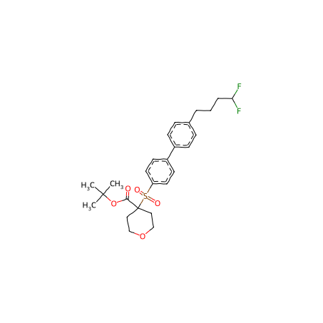 CC(C)(C)OC(=O)C1(S(=O)(=O)c2ccc(-c3ccc(CCCC(F)F)cc3)cc2)CCOCC1